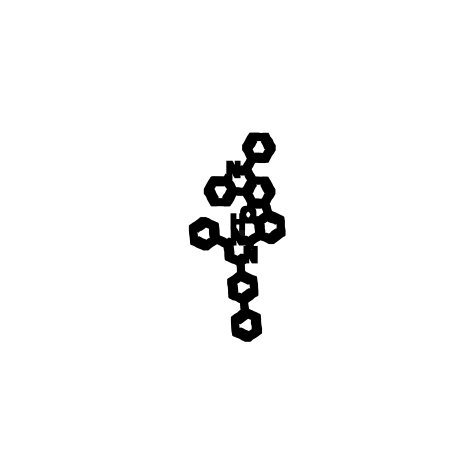 C1=C(c2ccccc2)NC(c2cccc3c2oc2c3ccc3c(-c4ccccc4)nc4ccccc4c32)N=C1c1ccc(-c2ccccc2)cc1